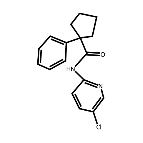 O=C(Nc1ccc(Cl)cn1)C1(c2ccccc2)CCCC1